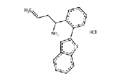 C=CCC(N)c1ccccc1-c1cc2ccccc2s1.Cl